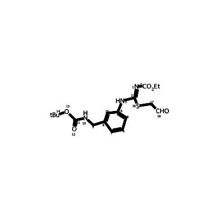 CCOC(=O)/N=C(/Nc1cccc(CNC(=O)OC(C)(C)C)c1)SCC=O